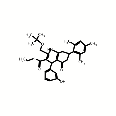 CCOC(=O)C1=C(COC(C)(C)C)NC2=C(C(=O)CC(c3c(C)cc(C)cc3C)C2)C1c1cccc(O)c1